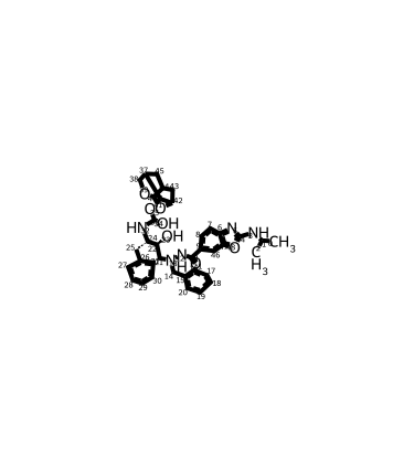 CC(C)Nc1nc2ccc(C(=O)NN(Cc3ccccc3)C[C@H](O)[C@H](Cc3ccccc3)NC(O)OC3C4COC5OC3CC5C4)cc2o1